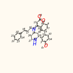 COc1ccc(-c2ccc3oc(=O)cc(N(CC=Cc4ccccc4)C4CCNCC4)c3c2)cc1